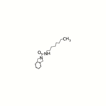 CCCCCCCCNC(=O)N1Cc2ccccc2C1